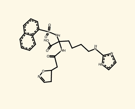 O=C(CC1CC=NO1)NC(CCCCNc1ncc[nH]1)(NS(=O)(=O)c1cccc2ccccc12)C(=O)O